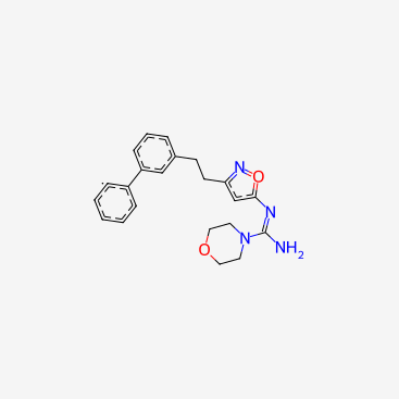 NC(=Nc1cc(CCc2cccc(-c3[c]cccc3)c2)no1)N1CCOCC1